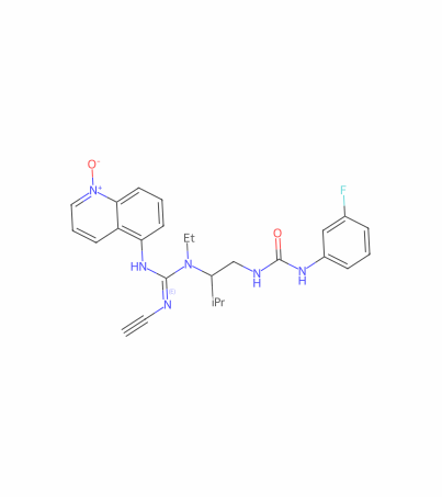 C#C/N=C(\Nc1cccc2c1ccc[n+]2[O-])N(CC)C(CNC(=O)Nc1cccc(F)c1)C(C)C